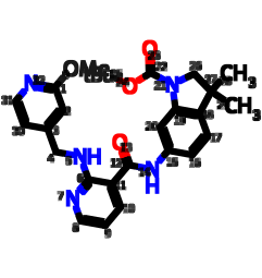 COc1cc(CNc2ncccc2C(=O)Nc2ccc3c(c2)N(C(=O)OC(C)(C)C)CC3(C)C)ccn1